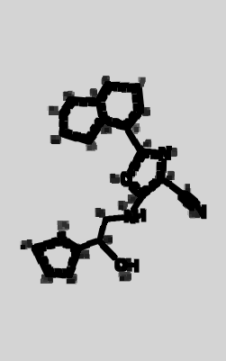 N#Cc1nc(-c2cccc3ccccc23)oc1NCC(O)c1cccs1